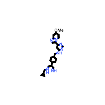 COc1ccn2c(-c3cc(NCc4ccc(/C(C=N)=C/NCC5CC5)cc4)ncn3)cnc2c1